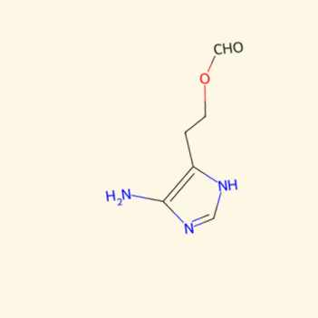 Nc1nc[nH]c1CCOC=O